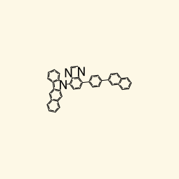 c1ccc2cc(-c3ccc(-c4ccc(-n5c6ccccc6c6cc7ccccc7cc65)c5nccnc45)cc3)ccc2c1